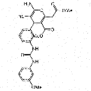 COC(=O)CC1=C(C(=O)OC)C(c2cccc(NC(=O)Nc3cccc(OC)c3)c2)C(C#N)=C(N)O1